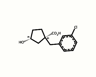 O=C(O)[C@@]1(Cc2cccc(Cl)c2)CC[C@@H](O)C1